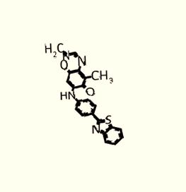 C=N/C=N\C1=C(C)C(=O)C(Nc2ccc(-c3nc4ccccc4s3)cc2)=CC1=O